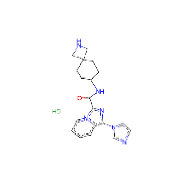 Cl.O=C(NC1CCC2(CC1)CNC2)c1nc(-n2ccnc2)c2ccccn12